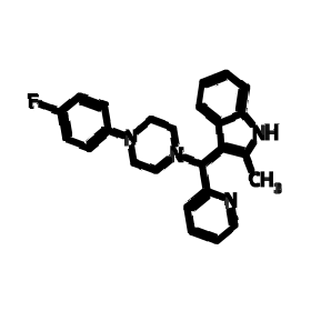 Cc1[nH]c2ccccc2c1C(c1ccccn1)N1CCN(c2ccc(F)cc2)CC1